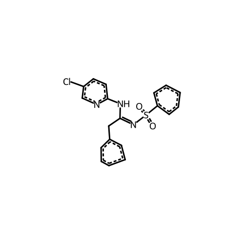 O=S(=O)(N=C(Cc1ccccc1)Nc1ccc(Cl)cn1)c1ccccc1